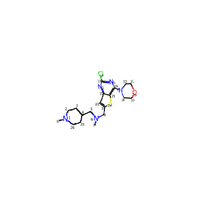 CN1CCC(CN(C)Cc2cc3nc(Cl)nc(N4CCOCC4)c3s2)CC1